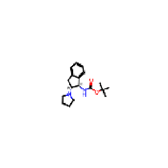 CC(C)(C)OC(=O)N[C@@H]1c2ccccc2C[C@H]1N1CCCC1